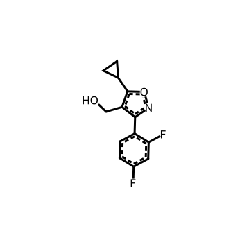 OCc1c(-c2ccc(F)cc2F)noc1C1CC1